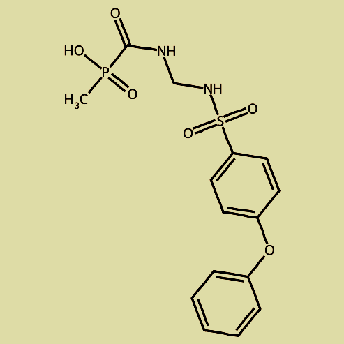 CP(=O)(O)C(=O)NCNS(=O)(=O)c1ccc(Oc2ccccc2)cc1